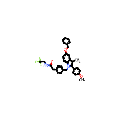 COc1ccc(-c2c(C)c3cc(OCc4ccccc4)ccc3n2Cc2ccc(CC(=O)NCC(F)(F)F)cc2)cc1